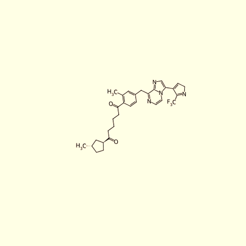 Cc1cc(Cc2nccn3c(C4=CCN=C4C(F)(F)F)cnc23)ccc1C(=O)CCCCC(=O)[C@H]1CC[C@H](C)C1